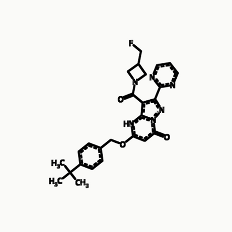 CC(C)(C)c1ccc(COc2cc(=O)n3nc(-c4ncccn4)c(C(=O)N4CC(CF)C4)c3[nH]2)cc1